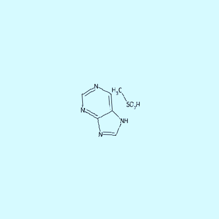 CS(=O)(=O)O.c1ncc2[nH]cnc2n1